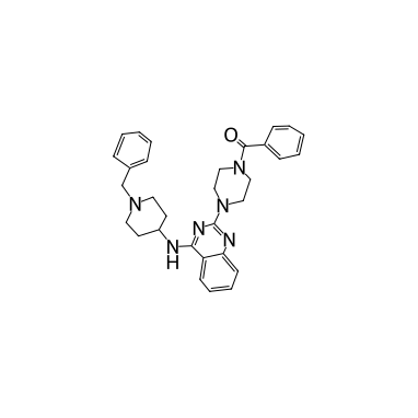 O=C(c1ccccc1)N1CCN(c2nc(NC3CCN(Cc4ccccc4)CC3)c3ccccc3n2)CC1